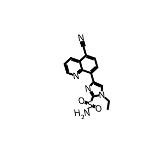 CCn1cc(-c2ccc(C#N)c3cccnc23)nc1S(N)(=O)=O